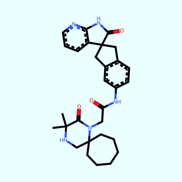 CC1(C)NCC2(CCCCCC2)N(CC(=O)Nc2ccc3c(c2)CC2(C3)C(=O)Nc3ncccc32)C1=O